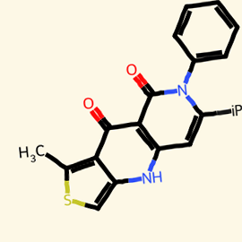 Cc1scc2[nH]c3cc(C(C)C)n(-c4ccccc4)c(=O)c3c(=O)c12